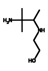 CC(NCCO)C(C)(C)N